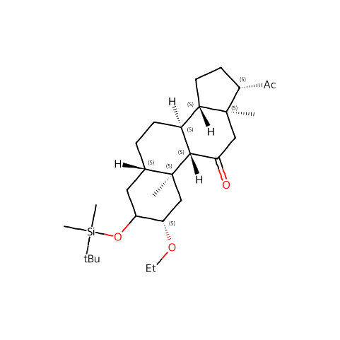 CCO[C@H]1C[C@@]2(C)[C@@H](CC[C@H]3[C@@H]4CC[C@H](C(C)=O)[C@@]4(C)CC(=O)[C@@H]32)CC1O[Si](C)(C)C(C)(C)C